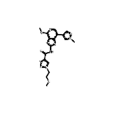 COCCn1cc(C(=O)Nc2nc3c(OC)ncc(-c4cnn(C)c4)c3s2)nn1